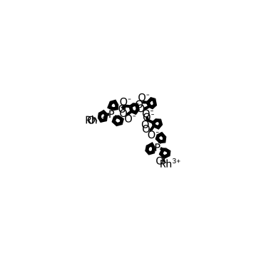 O=C([O-])c1ccccc1C(=O)[O-].O=C([O-])c1ccccc1C(=O)[O-].O=C([O-])c1ccccc1C(=O)[O-].[C]=O.[C]=O.[Rh+3].[Rh+3].c1ccc(P(c2ccccc2)c2ccccc2)cc1.c1ccc(P(c2ccccc2)c2ccccc2)cc1